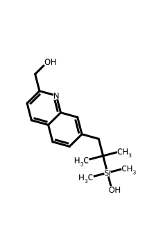 CC(C)(Cc1ccc2ccc(CO)nc2c1)[Si](C)(C)O